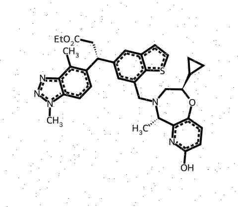 CCOC(=O)C[C@H](c1cc(CN2C[C@@H](C3CC3)Oc3ccc(O)nc3[C@@H]2C)c2sccc2c1)c1ccc2c(nnn2C)c1C